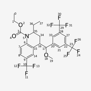 CCOC(=O)N1c2ccc(C(F)(F)F)cc2C(C(OC)c2cc(C(F)(F)F)cc(C(F)(F)F)c2)CC1CC